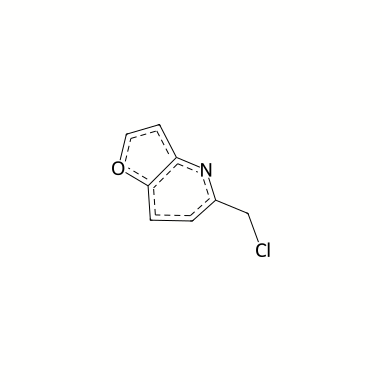 ClCc1ccc2occc2n1